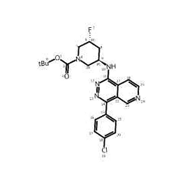 CC(C)(C)OC(=O)N1C[C@H](F)C[C@@H](Nc2nnc(-c3ccc(Cl)cc3)c3cnccc23)C1